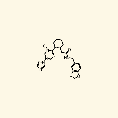 O=C(CC1CCCCN1C1=NCN(n2ccnc2)CN1Cl)NCc1ccc2c(c1)OCO2